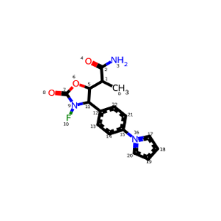 CC(C(N)=O)C1OC(=O)N(F)C1c1ccc(-n2cccc2)cc1